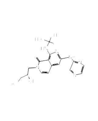 CC(C)(C)Nc1nc(Nc2cnccn2)cc2ccn(C[C@@H](O)CO)c(=O)c12